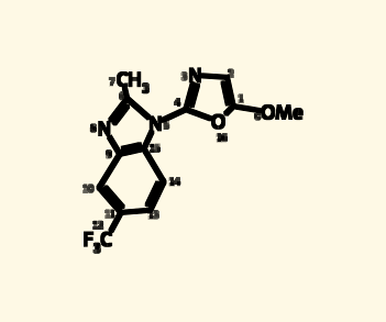 COc1cnc(-n2c(C)nc3cc(C(F)(F)F)ccc32)o1